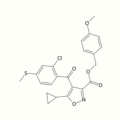 COc1ccc(COC(=O)c2noc(C3CC3)c2C(=O)c2ccc(SC)cc2Cl)cc1